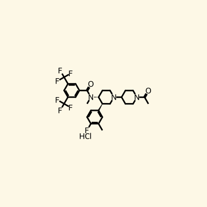 CC(=O)N1CCC(N2CC[C@@H](N(C)C(=O)c3cc(C(F)(F)F)cc(C(F)(F)F)c3)[C@H](c3ccc(F)c(C)c3)C2)CC1.Cl